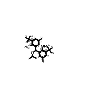 Cc1cc(C(OC(C)C)c2cc(C)cc(C(C)(C)C)c2O)c(O)c(C(C)(C)C)c1